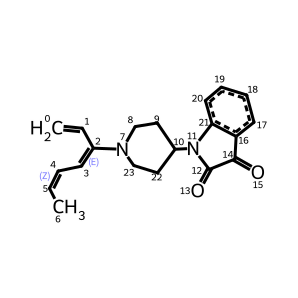 C=C/C(=C\C=C/C)N1CCC(N2C(=O)C(=O)c3ccccc32)CC1